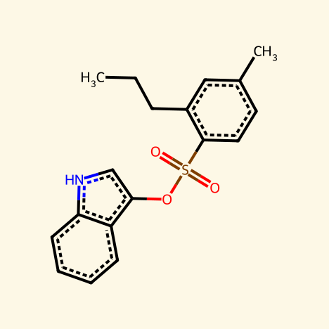 CCCc1cc(C)ccc1S(=O)(=O)Oc1c[nH]c2ccccc12